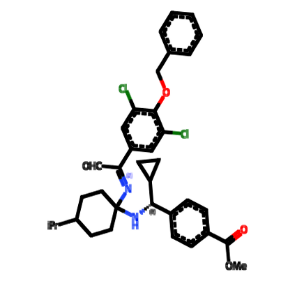 COC(=O)c1ccc([C@H](NC2(/N=C(\C=O)c3cc(Cl)c(OCc4ccccc4)c(Cl)c3)CCC(C(C)C)CC2)C2CC2)cc1